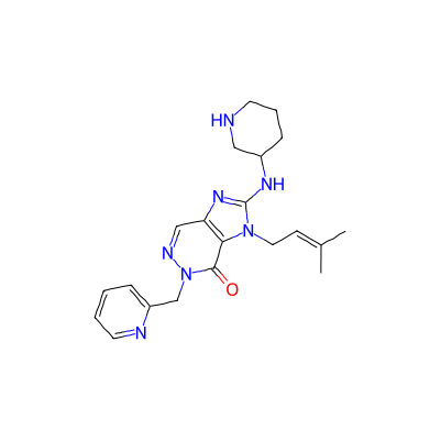 CC(C)=CCn1c(NC2CCCNC2)nc2cnn(Cc3ccccn3)c(=O)c21